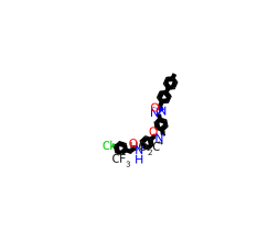 Cc1ccc(-c2ccc(-c3nc(-c4ccc(CN(CC(=O)O)C(=O)c5ccc(NC(=O)Cc6ccc(Cl)cc6C(F)(F)F)cc5)cc4)no3)cc2)cc1